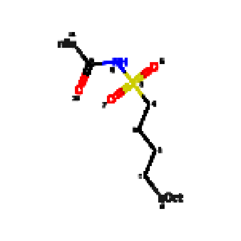 CCCCCCCCCCCCS(=O)(=O)NC(=O)CCCC